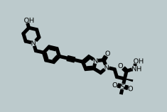 C[C@@](CCN1Cc2cc(C#Cc3ccc(CN4CCC(O)CC4)cc3)cn2C1=O)(C(=O)NO)S(C)(=O)=O